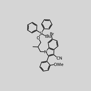 COc1ccccc1-c1c(C#N)c2ccc(Br)cc2n1CC(C)CO[Si](c1ccccc1)(c1ccccc1)C(C)(C)C